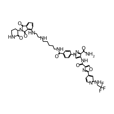 NC(=O)c1nn(-c2ccc(C(=O)NCCCCCNCCNc3cccc4c3C(=O)N(C3CCCNC3=O)C4=O)cc2)cc1NC(=O)c1coc(-c2ccnc(NCC(F)(F)F)c2)n1